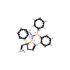 C=C[C@]1(c2ccccc2)CC=CP1N(CCCC)P(c1ccccc1)c1ccccc1